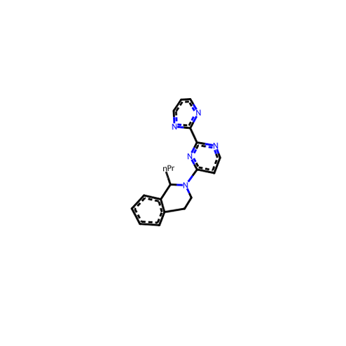 CCCC1c2ccccc2CCN1c1ccnc(-c2ncccn2)n1